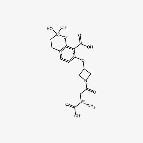 N[C@@H](CC(=O)N1CC(Oc2ccc3c(c2C(=O)O)O[B-](O)(O)CC3)C1)C(=O)O